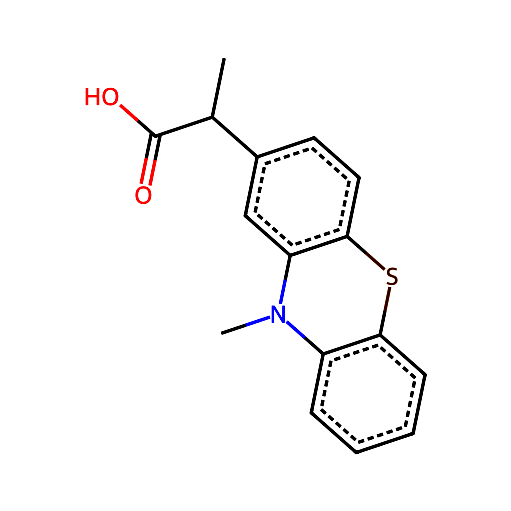 CC(C(=O)O)c1ccc2c(c1)N(C)c1ccccc1S2